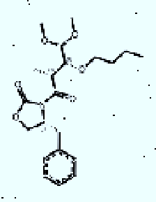 CCCCO[C@@H](C(OC)OC)[C@@H](C)C(=O)N1C(=O)OC[C@H]1Cc1ccccc1